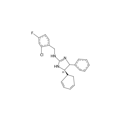 Fc1ccc(CNC2=NC(c3ccccc3)[C@@H](C3C=CC=CC3)N2)c(Cl)c1